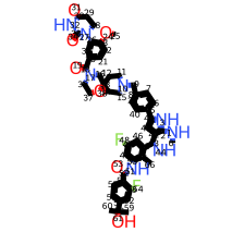 CNc1[nH]c(-c2ccc(CN3CCC4(CC3)CN(C(=O)c3ccc(OC)c(N5CCC(=O)NC5=O)c3)CCO4)cc2)cc1C(=N)c1cc(F)cc(NC(=O)c2ccc(C(C)(C)O)cc2F)c1C